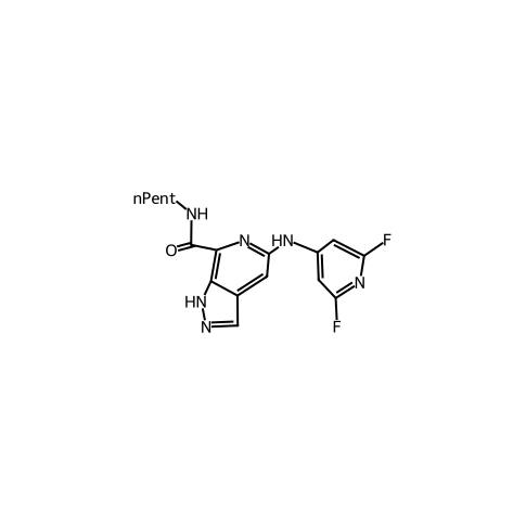 CCCCCNC(=O)c1nc(Nc2cc(F)nc(F)c2)cc2cn[nH]c12